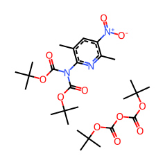 CC(C)(C)OC(=O)OC(=O)OC(C)(C)C.Cc1cc([N+](=O)[O-])c(C)nc1N(C(=O)OC(C)(C)C)C(=O)OC(C)(C)C